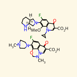 CN1CCN(c2c(F)cc3c(=O)c(C(=O)O)cn4c3c2OCN4C)CC1.COc1c(N2C[C@@H]3CCCN[C@@H]3C2)c(F)cc2c(=O)c(C(=O)O)cn(C3CC3)c12